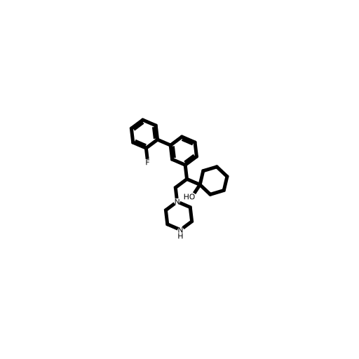 OC1(C(CN2CCNCC2)c2cccc(-c3ccccc3F)c2)CCCCC1